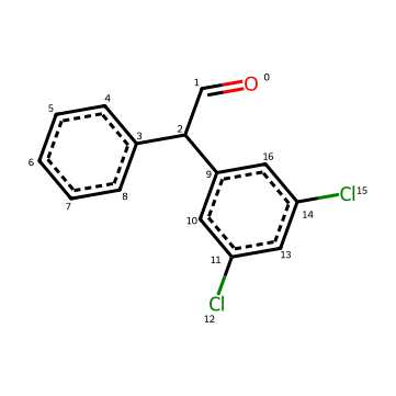 O=CC(c1ccccc1)c1cc(Cl)cc(Cl)c1